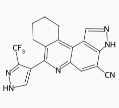 N#Cc1cc2nc(-c3c[nH]nc3C(F)(F)F)c3c(c2c2cn[nH]c12)CCCC3